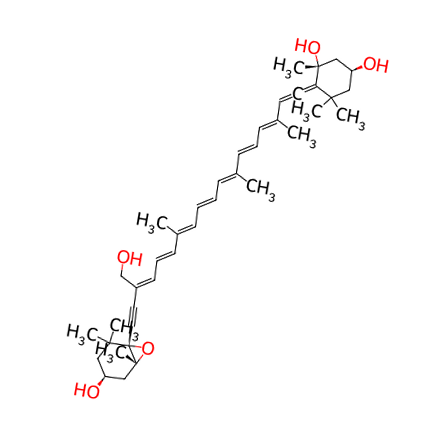 C\C(C=C=C1C(C)(C)C[C@H](O)C[C@@]1(C)O)=C/C=C/C(C)=C/C=C/C=C(C)/C=C/C=C(/C#C[C@@]12O[C@]1(C)C[C@@H](O)CC2(C)C)CO